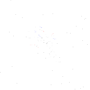 CCc1ccc(-c2ccc3c(c2)NC(=O)C3=Cc2c(C)c(C(=O)O)c(C)n2C(C(N)=O)N2CCCC2)cc1